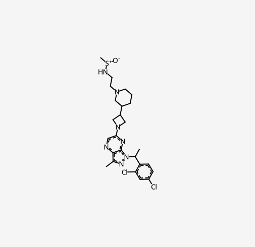 Cc1nn(C(C)c2ccc(Cl)cc2Cl)c2nc(N3CC(C4CCCN(CCN[S+](C)[O-])C4)C3)cnc12